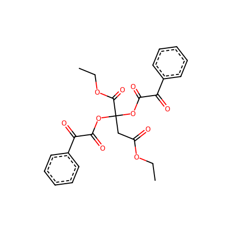 CCOC(=O)CC(OC(=O)C(=O)c1ccccc1)(OC(=O)C(=O)c1ccccc1)C(=O)OCC